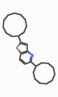 c1cc2sc(C3CCCCCCCCCC3)cc2nc1C1CCCCCCCCC1